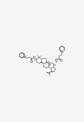 C=C(C)[C@@H]1CCC2C1C1CCC3[C@@]4(C)CC[C@H](OC(=O)CC[n+]5ccccc5)C(C)(C)C4CC[C@@]3(C)[C@]1(C)C[C@@H]2COC(=O)CC[n+]1ccccc1